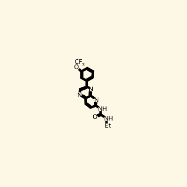 CCNC(=O)Nc1ccc2ncc(-c3cccc(OC(F)(F)F)c3)nc2n1